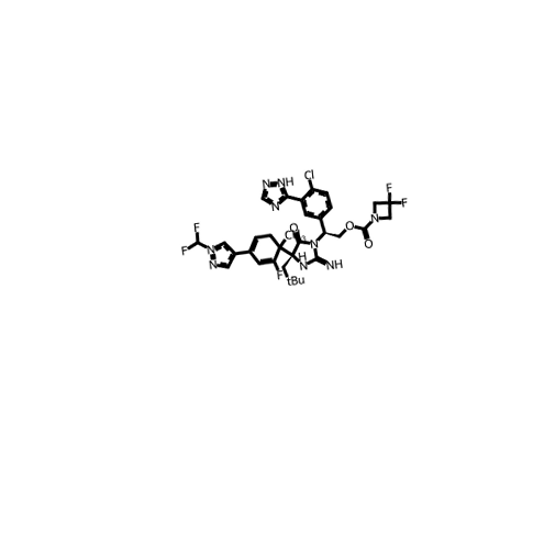 CC(C)(C)C[C@]1(C2(C)CC=C(c3cnn(C(F)F)c3)C=C2F)NC(=N)N([C@H](COC(=O)N2CC(F)(F)C2)c2ccc(Cl)c(-c3ncn[nH]3)c2)C1=O